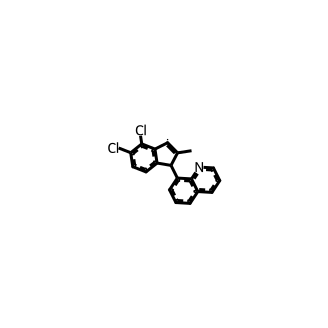 CC1=[C]c2c(ccc(Cl)c2Cl)C1c1cccc2cccnc12